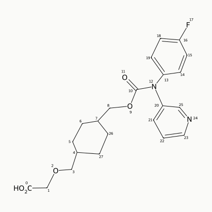 O=C(O)COCC1CCC(COC(=O)N(c2ccc(F)cc2)c2cccnc2)CC1